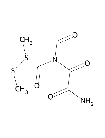 CSSC.NC(=O)C(=O)N(C=O)C=O